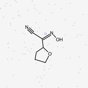 N#C/C(=N/O)C1CCCO1